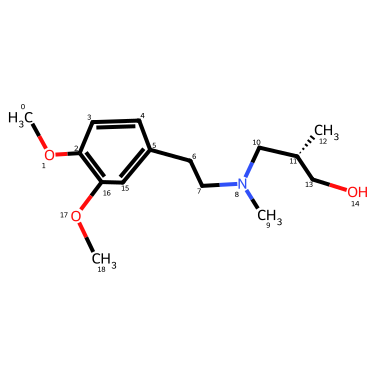 COc1ccc(CCN(C)C[C@H](C)CO)cc1OC